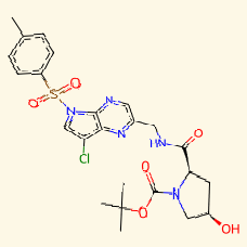 Cc1ccc(S(=O)(=O)n2cc(Cl)c3nc(CNC(=O)[C@H]4C[C@@H](O)CN4C(=O)OC(C)(C)C)cnc32)cc1